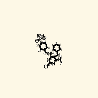 Cn1nc(-c2ccccc2)c2c(NCc3ccc(S(N)(=O)=O)cc3)nc(Cl)nc21